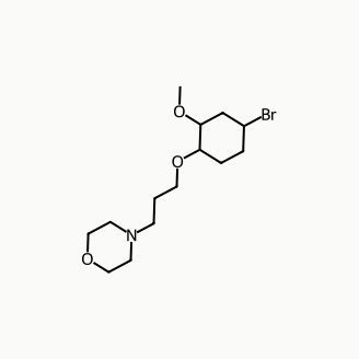 COC1CC(Br)CCC1OCCCN1CCOCC1